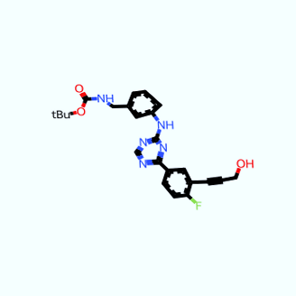 CC(C)(C)OC(=O)NCc1cccc(Nc2ncnc(-c3ccc(F)c(C#CCO)c3)n2)c1